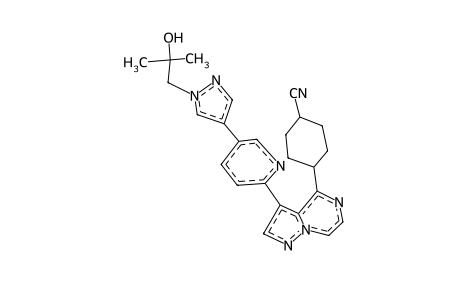 CC(C)(O)Cn1cc(-c2ccc(-c3cnn4ccnc(C5CCC(C#N)CC5)c34)nc2)cn1